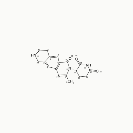 Cc1nc2cc3c(cc2c(=O)n1[C@H]1CCC(=O)NC1=O)CCNC3